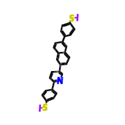 ISc1ccc(-c2ccc3cc(-c4ccc(-c5ccc(SI)cc5)nc4)ccc3c2)cc1